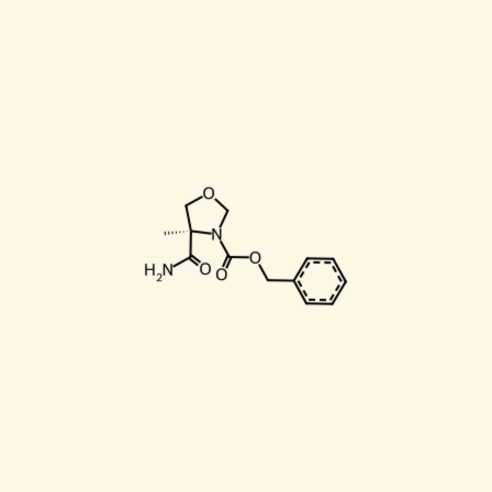 C[C@]1(C(N)=O)COCN1C(=O)OCc1ccccc1